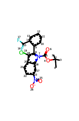 CC(C)(C)OC(=O)n1c(-c2ccccc2C(F)F)c(Cl)c2ccc([N+](=O)[O-])cc21